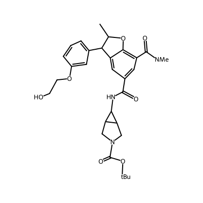 CNC(=O)c1cc(C(=O)NC2C3CN(C(=O)OC(C)(C)C)CC32)cc2c1OC(C)C2c1cccc(OCCO)c1